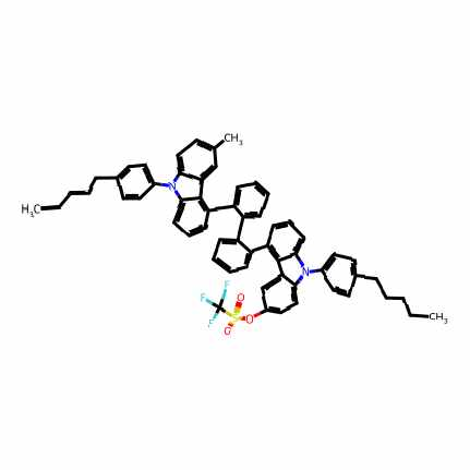 CCCCCc1ccc(-n2c3ccc(C)cc3c3c(-c4ccccc4-c4ccccc4-c4cccc5c4c4cc(OS(=O)(=O)C(F)(F)F)ccc4n5-c4ccc(CCCCC)cc4)cccc32)cc1